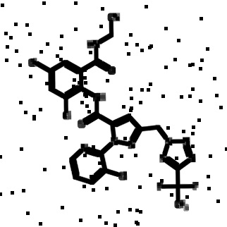 N#CCNC(=O)c1cc(Cl)cc(Cl)c1NC(=O)c1cc(Cn2nnc(C(F)(F)C(F)(F)F)n2)nn1-c1ncccc1Cl